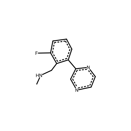 CNCc1c(F)cccc1-c1cnccn1